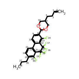 C=CCCC1COC(c2ccc3c(c2F)C(F)(F)C(F)(F)c2c-3ccc(CCC)c2F)OC1